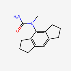 CN(C(N)=O)c1c2c(cc3c1CCC3)CCC2